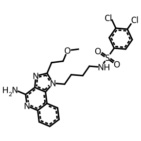 COCCc1nc2c(N)nc3ccccc3c2n1CCCCNS(=O)(=O)c1ccc(Cl)c(Cl)c1